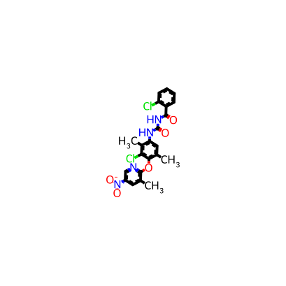 Cc1cc([N+](=O)[O-])cnc1Oc1c(C)cc(NC(=O)NC(=O)c2ccccc2Cl)c(C)c1Cl